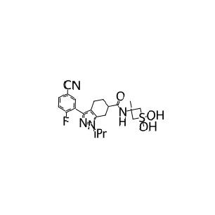 CC(C)n1nc(-c2cc(C#N)ccc2F)c2c1CC(C(=O)NC1(C)CS(O)(O)C1)CC2